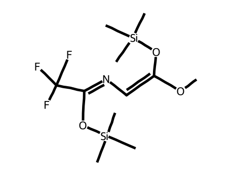 COC(=CN=C(O[Si](C)(C)C)C(F)(F)F)O[Si](C)(C)C